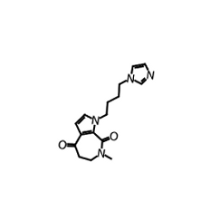 CN1CCC(=O)c2ccn(CCCCn3ccnc3)c2C1=O